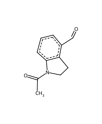 CC(=O)N1CCc2c(C=O)cccc21